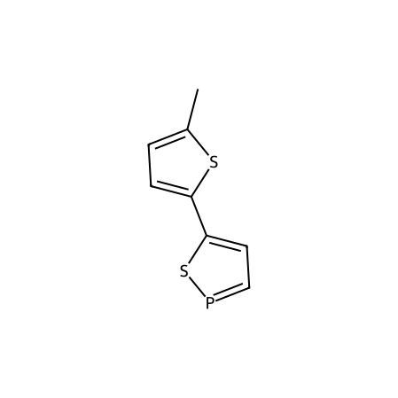 Cc1ccc(-c2ccps2)s1